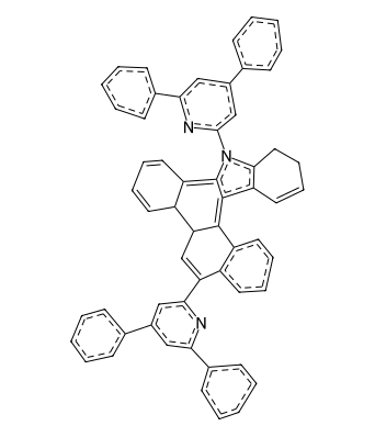 C1=CC2=c3c(c4c(n3-c3cc(-c5ccccc5)cc(-c5ccccc5)n3)CCC=C4)=C3c4ccccc4C(c4cc(-c5ccccc5)cc(-c5ccccc5)n4)=CC3C2C=C1